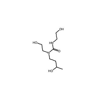 CC(O)CCN(CCO)C(=O)NCCO